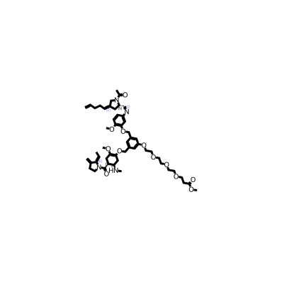 C=CCC/C=C1/C[C@@H](/C=N\c2ccc(OC)c(OCc3cc(COC4=C(OC)C[C@H](C(=O)N5CCC(=C)/C5=C\C)[C@H](NC)C4)cc(OCCOCCOCCOCCC(=O)OC)c3)c2)N(C(C)=O)C1